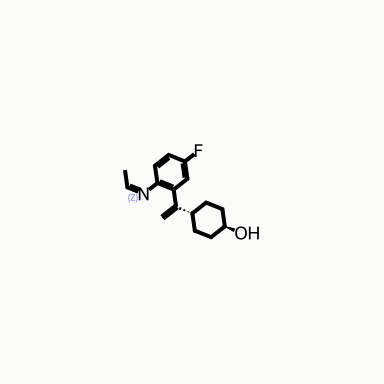 C=C(c1cc(F)ccc1/N=C\C)[C@H]1CC[C@H](O)CC1